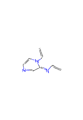 C=C/N=c1/cnccn1C=C